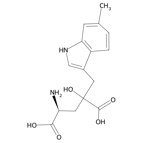 Cc1ccc2c(CC(O)(C[C@H](N)C(=O)O)C(=O)O)c[nH]c2c1